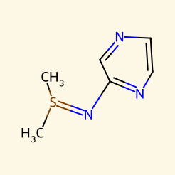 CS(C)=Nc1cnccn1